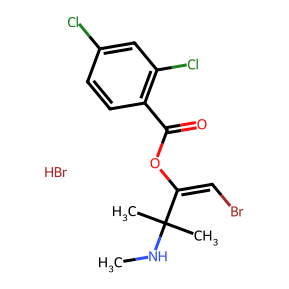 Br.CNC(C)(C)C(=CBr)OC(=O)c1ccc(Cl)cc1Cl